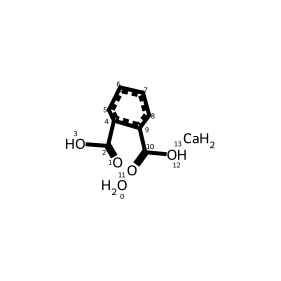 O.O=C(O)c1ccccc1C(=O)O.[CaH2]